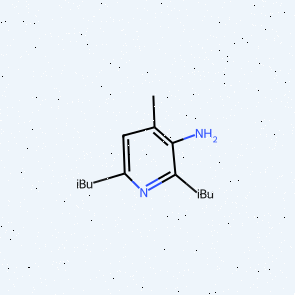 CCC(C)c1cc(C)c(N)c(C(C)CC)n1